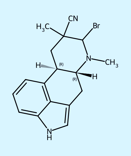 CN1C(Br)C(C)(C#N)C[C@@H]2c3cccc4[nH]cc(c34)C[C@H]21